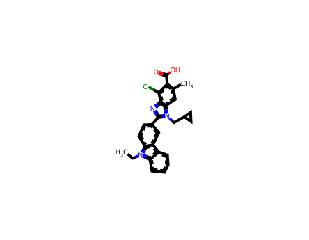 CCn1c2ccccc2c2cc(-c3nc4c(Cl)c(C(=O)O)c(C)cc4n3CC3CC3)ccc21